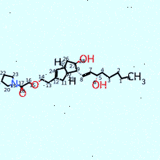 CCCCC[C@H](O)/C=C/[C@@H]1[C@H]2CC(CCOCC(=O)N3CCCC3)=C[C@H]2C[C@H]1O